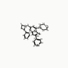 c1ccc(C2CCN2Cc2cc(N3CCOCC3)n3nc(-c4ccncc4)cc3n2)cc1